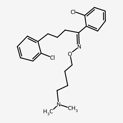 CN(C)CCCCON=C(CCCc1ccccc1Cl)c1ccccc1Cl